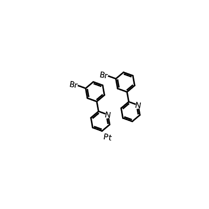 Brc1cccc(-c2ccccn2)c1.Brc1cccc(-c2ccccn2)c1.[Pt]